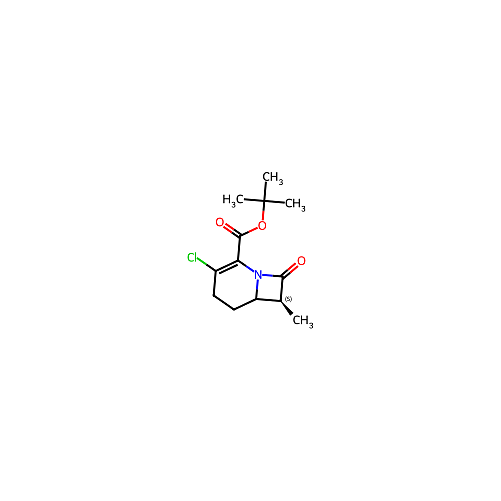 C[C@@H]1C(=O)N2C(C(=O)OC(C)(C)C)=C(Cl)CCC12